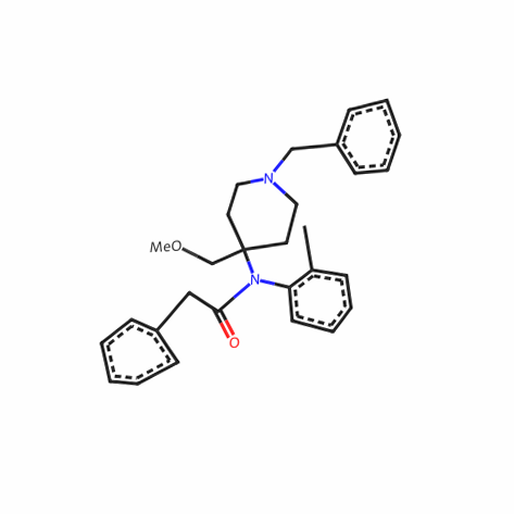 COCC1(N(C(=O)Cc2ccccc2)c2ccccc2C)CCN(Cc2ccccc2)CC1